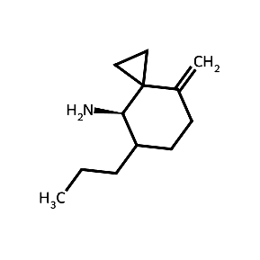 C=C1CCC(CCC)[C@@H](N)C12CC2